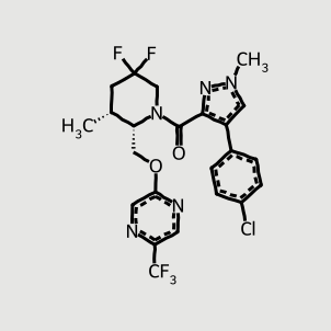 C[C@@H]1CC(F)(F)CN(C(=O)c2nn(C)cc2-c2ccc(Cl)cc2)[C@@H]1COc1cnc(C(F)(F)F)cn1